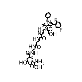 CC(C)(C)[C@H](c1cc(-c2cc(F)ccc2F)cn1Cc1ccccc1)N(CC[C@H](N)C(=O)NCCC(=O)NCCNC(=O)C(CC(=O)O)SC[C@H](N)C(=O)O)C(=O)CO